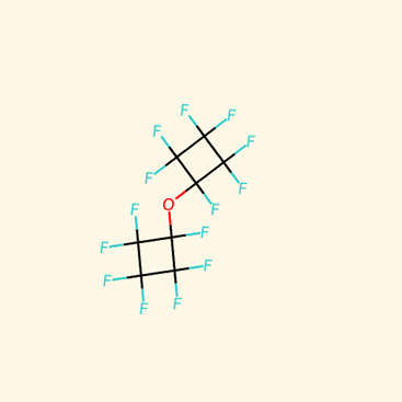 FC1(F)C(F)(F)C(F)(OC2(F)C(F)(F)C(F)(F)C2(F)F)C1(F)F